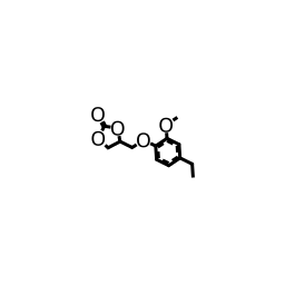 CCc1ccc(OCC2COC(=O)O2)c(OC)c1